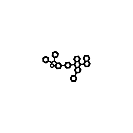 c1ccc(-c2ccc3c(-c4cccc5ccccc45)c4ccccc4c(-c4ccc(-c5ccc6c(c5)C(c5ccccc5)C(c5ccccc5)O6)cc4)c3c2)cc1